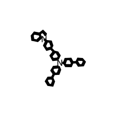 c1ccc(-c2ccc(N(c3ccc(-c4ccccc4)cc3)c3ccc(-c4ccc(-n5ccc6ccccc65)cc4)cc3)cc2)cc1